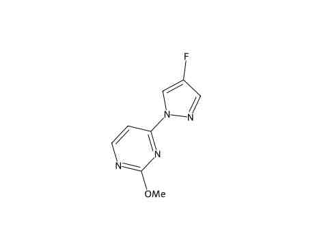 COc1nccc(-n2cc(F)cn2)n1